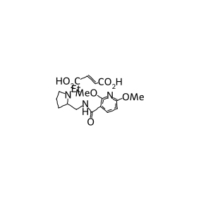 CCN1CCCC1CNC(=O)c1ccc(OC)nc1OC.O=C(O)C=CC(=O)O